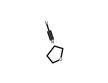 C1CCOC1.[Li][C]#N